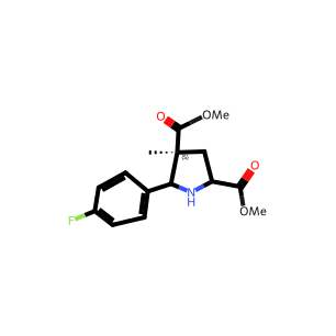 COC(=O)C1C[C@](C)(C(=O)OC)C(c2ccc(F)cc2)N1